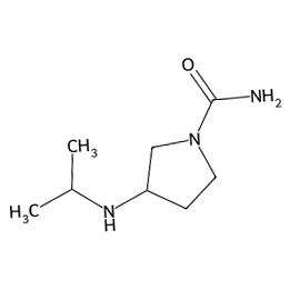 CC(C)NC1CCN(C(N)=O)C1